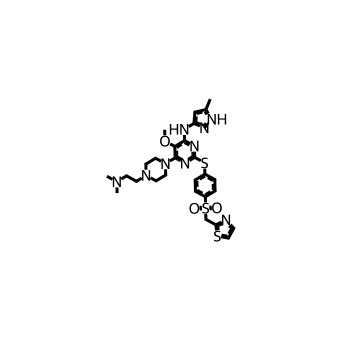 COc1c(Nc2cc(C)[nH]n2)nc(Sc2ccc(S(=O)(=O)Cc3nccs3)cc2)nc1N1CCN(CCN(C)C)CC1